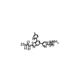 CCNC(=O)Nc1nc2cc(-c3cnc(N(C)S(N)(=O)=O)nc3)cc(-c3ccc(C)cn3)c2s1